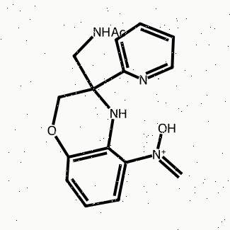 C=[N+](O)c1cccc2c1NC(CNC(C)=O)(c1ccccn1)CO2